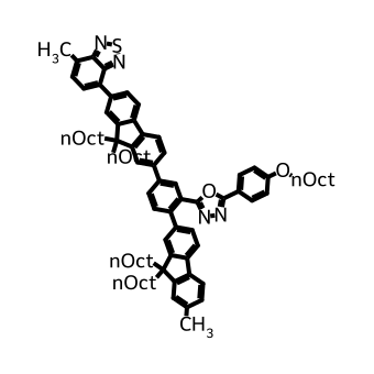 CCCCCCCCOc1ccc(-c2nnc(-c3cc(-c4ccc5c(c4)C(CCCCCCCC)(CCCCCCCC)c4cc(-c6ccc(C)c7nsnc67)ccc4-5)ccc3-c3ccc4c(c3)C(CCCCCCCC)(CCCCCCCC)c3cc(C)ccc3-4)o2)cc1